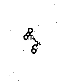 CN(CCCNCC12CC(c3ccccc31)c1ccccc12)c1ccc2ccccc2n1